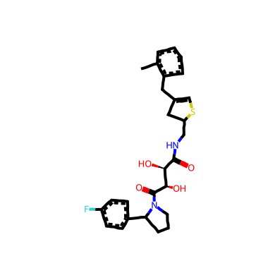 Cc1ccccc1CC1=CSC(CNC(=O)[C@H](O)[C@@H](O)C(=O)N2CCCC2c2ccc(F)cc2)C1